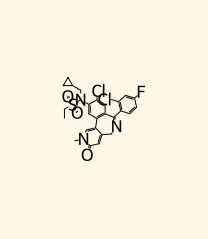 CCS(=O)(=O)N(CC1CC1)c1cc2c(cc1Cl)C(c1ccc(F)cc1Cl)=NCc1cc(=O)n(C)cc1-2